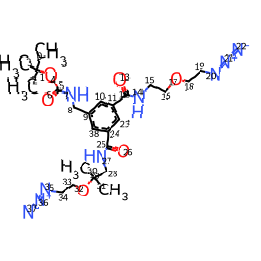 CC(C)(C)OC(=O)NCc1cc(C(=O)NCCOCCN=[N+]=[N-])cc(C(=O)NCC(C)(C)OCCN=[N+]=[N-])c1